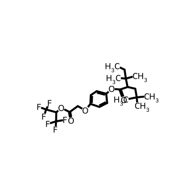 CCC(C)(C)C(CC(C)(C)C)C(=O)Oc1ccc(OCC(=O)OC(C(F)(F)F)C(F)(F)F)cc1